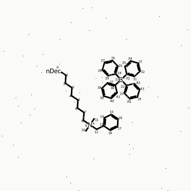 CCCCCCCCCCCCCCCCCC[N+](C)(C)Cc1ccccc1.c1ccc([B-](c2ccccc2)(c2ccccc2)c2ccccc2)cc1